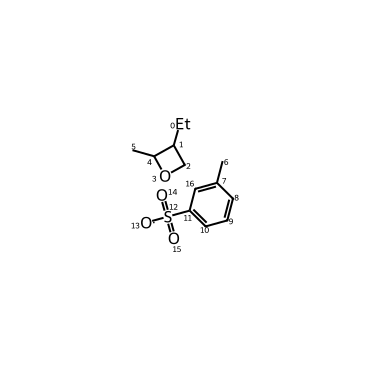 CCC1COC1C.Cc1cccc(S([O])(=O)=O)c1